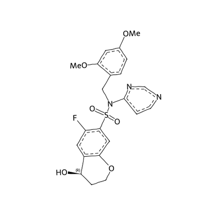 COc1ccc(CN(c2ccncn2)S(=O)(=O)c2cc3c(cc2F)[C@H](O)CCO3)c(OC)c1